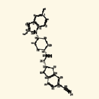 Cc1ccc2c(c1)nc(C)n2[C@H]1CC[C@@H](NC[C@H]2Cc3ccc(C#N)cc3C2)CC1